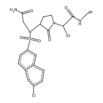 CCC(C(=O)NC(C)C)N1CCC(N(CC(N)=O)S(=O)(=O)c2ccc3cc(Cl)ccc3c2)C1=O